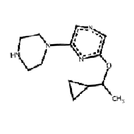 CC(Oc1cncc(N2CCNCC2)n1)C1CC1